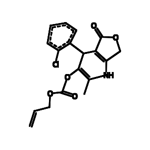 C=CCOC(=O)OC1=C(C)NC2=C(C(=O)OC2)C1c1ccccc1Cl